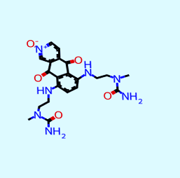 CN(CCNc1ccc(NCCN(C)C(N)=O)c2c1C(=O)c1cc[n+]([O-])cc1C2=O)C(N)=O